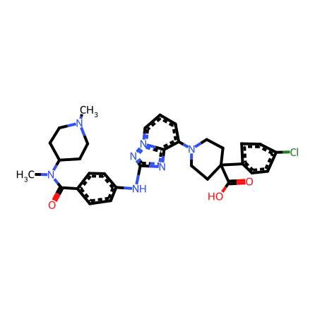 CN1CCC(N(C)C(=O)c2ccc(Nc3nc4c(N5CCC(C(=O)O)(c6ccc(Cl)cc6)CC5)cccn4n3)cc2)CC1